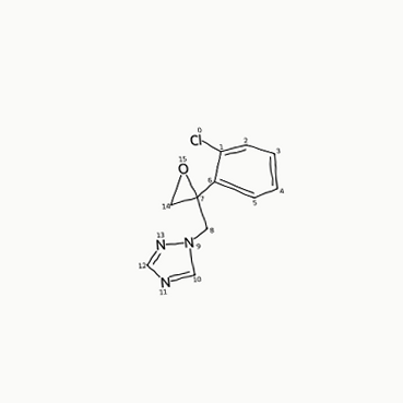 Clc1ccccc1C1(Cn2cncn2)CO1